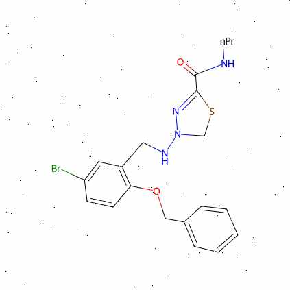 CCCNC(=O)C1=NN(NCc2cc(Br)ccc2OCc2ccccc2)CS1